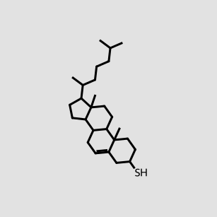 CC(C)CCCC(C)C1CCC2C3CC=C4CC(S)CCC4(C)C3CCC12C